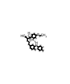 C#CC(CCCc1ccc(F)c(Nc2ccc(F)cc2)c1)C(C)(C)c1ccc(OCC)cc1